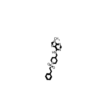 Cn1cnc2c(NCC3CCN(S(=O)(=O)CCc4ccccc4)CC3)ncnc21